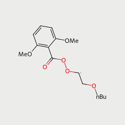 CCCCOC[CH]OOC(=O)c1c(OC)cccc1OC